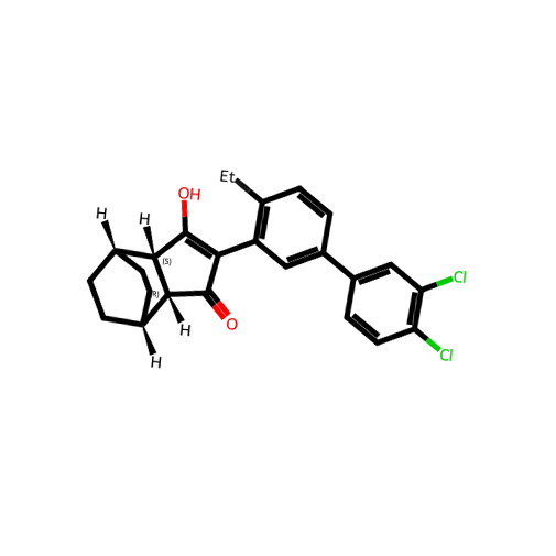 CCc1ccc(-c2ccc(Cl)c(Cl)c2)cc1C1=C(O)[C@H]2[C@H]3CC[C@H](CC3)[C@H]2C1=O